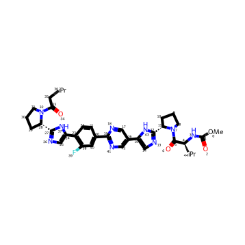 COC(=O)N[C@H](C(=O)N1CCC[C@H]1c1ncc(-c2cnc(-c3ccc(-c4cnc([C@@H]5CCCN5C(=O)[CH]C(C)C)[nH]4)c(F)c3)nc2)[nH]1)C(C)C